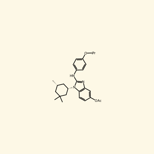 CC(=O)Oc1ccc2c(c1)nc(Nc1ccc(OC(C)C)cc1)n2[C@H]1C[C@@H](C)CC(C)(C)C1